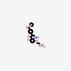 CCCOc1ccc(F)c2c(=O)c(-c3ccc(C(=O)N4CCCC4)cc3)c[nH]c12